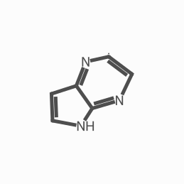 [c]1cnc2[nH]ccc2n1